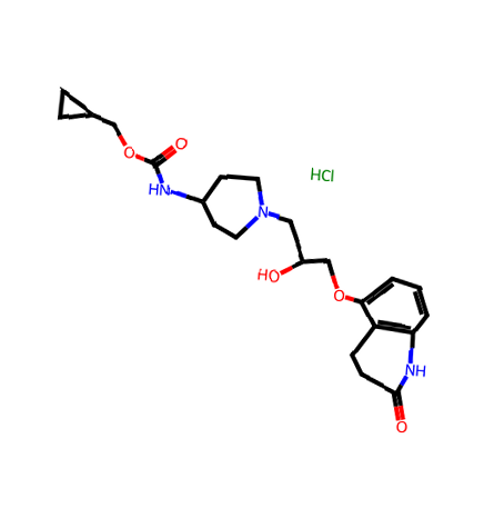 Cl.O=C1CCc2c(cccc2OCC(O)CN2CCC(NC(=O)OCC3CC3)CC2)N1